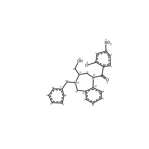 O=C(c1ccc([N+](=O)[O-])cc1Cl)N1CC(CO)N(Cc2ccccc2)Cc2ccccc21